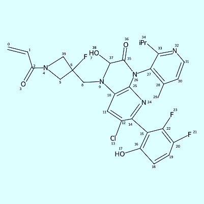 C=CC(=O)N1CC(F)(CN2c3cc(Cl)c(-c4c(O)ccc(F)c4F)nc3N(c3c(C)ccnc3C(C)C)C(=O)C2O)C1